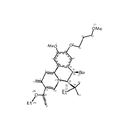 C=C1C=C2c3cc(OC)c(OCCCOC)cc3[C@@H](C(C)CC)[C@@H](C(C)(C)CC)N2C=C1C(=C)OCC